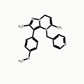 COc1ccc(-c2c(C)nn3c2N(Cc2ccncc2)C(C)=CC3)cc1